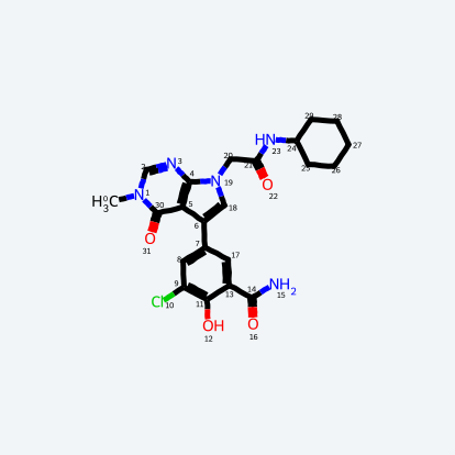 Cn1cnc2c(c(-c3cc(Cl)c(O)c(C(N)=O)c3)cn2CC(=O)NC2CCCCC2)c1=O